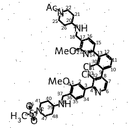 COc1cc(-c2nccc(-c3cccc(-c4ccc(CNC5CCN(C(C)=O)CC5)c(OC)n4)c3Cl)c2Cl)ccc1CNC1CCN(S(C)(=O)=O)CC1